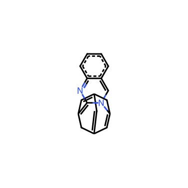 C1=C2C=C3C=C(C2)N2C=c4ccccc4=NC2=C1C3